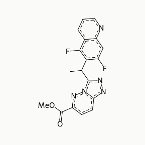 COC(=O)c1ccc2nnc(C(C)c3c(F)cc4ncccc4c3F)n2n1